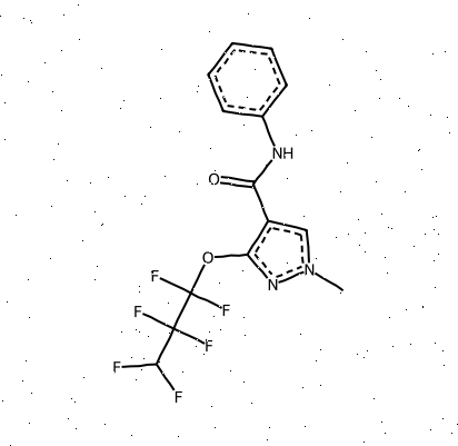 Cn1cc(C(=O)Nc2ccccc2)c(OC(F)(F)C(F)(F)C(F)F)n1